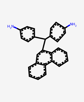 Nc1ccc(C(c2ccc(N)cc2)c2cc3ccccc3c3ccccc23)cc1